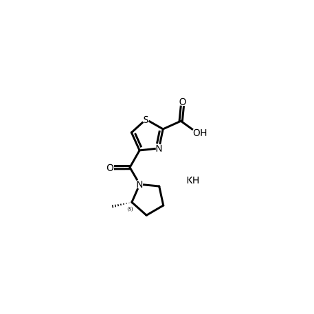 C[C@H]1CCCN1C(=O)c1csc(C(=O)O)n1.[KH]